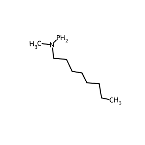 CCCCCCCCN(C)P